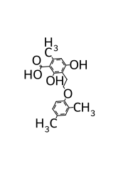 Cc1ccc(OCCc2c(O)cc(C)c(C(=O)O)c2O)c(C)c1